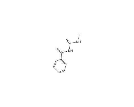 O=C(NC(=S)NF)c1ccccc1